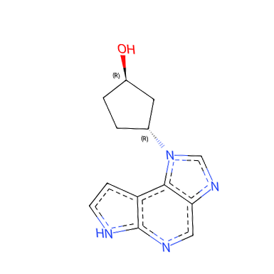 O[C@@H]1CC[C@@H](n2cnc3cnc4[nH]ccc4c32)C1